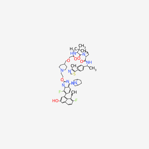 C#Cc1c(F)ccc2cc(O)cc(-c3ccc4c(N5CC6CCC(C5)N6)nc(OCCN5CCC(COCC(=O)N[C@H](C(=O)N6CCC[C@H]6C(=O)N[C@@H](C)c6ccc(-c7scnc7C)cc6)C(C)(C)C)CC5)nc4c3F)c12